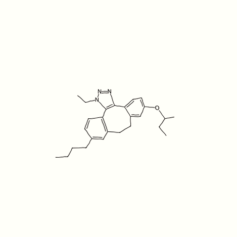 CCCCc1ccc2c(c1)CCc1cc(OC(C)CC)ccc1-c1nnn(CC)c1-2